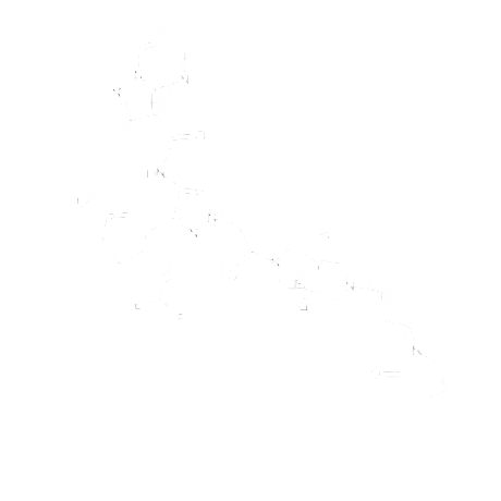 O=C(Nc1cn(CC(=O)N2C[C@H]3CN(CCCN4CCCC4=O)C[C@H]3C2)nc1-c1cc(Cl)ccc1OC(F)F)c1cnn2cccnc12